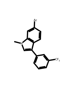 CC(=O)c1ccc2c(-c3cccc(C(F)(F)F)c3)cn(C)c2c1